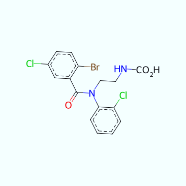 O=C(O)NCCN(C(=O)c1cc(Cl)ccc1Br)c1ccccc1Cl